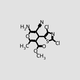 COC(=O)C1=C(C)OC(N)=C(C#N)C1c1sc(Cl)nc1Cl